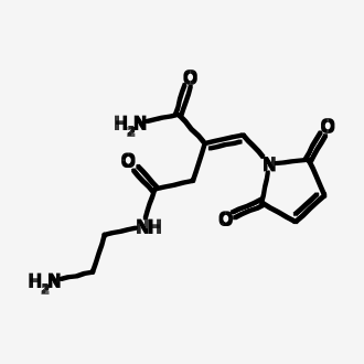 NCCNC(=O)CC(=CN1C(=O)C=CC1=O)C(N)=O